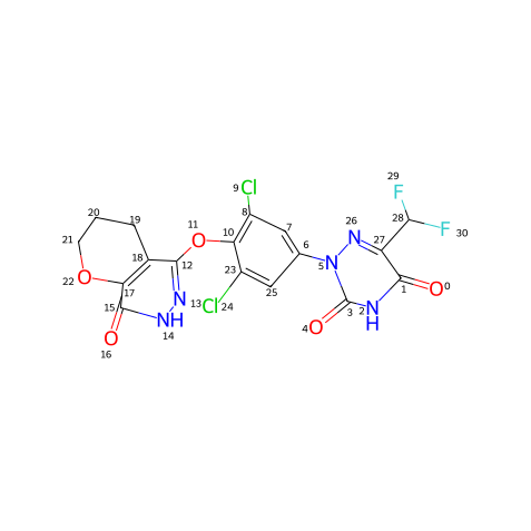 O=c1[nH]c(=O)n(-c2cc(Cl)c(Oc3n[nH]c(=O)c4c3CCCO4)c(Cl)c2)nc1C(F)F